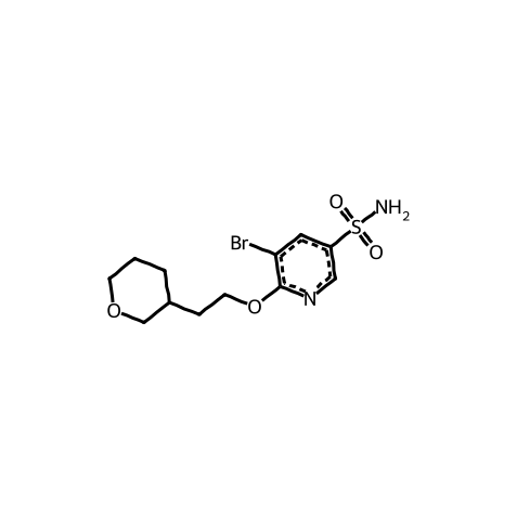 NS(=O)(=O)c1cnc(OCCC2CCCOC2)c(Br)c1